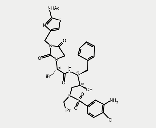 CC(=O)Nc1nc(CN2C(=O)CN([C@H](C(=O)N[C@@H](Cc3ccccc3)[C@@H](O)CN(CC(C)C)S(=O)(=O)c3ccc(Cl)c(N)c3)C(C)C)C2=O)cs1